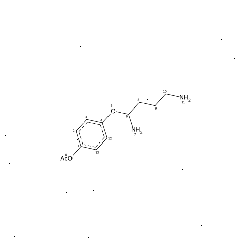 CC(=O)Oc1ccc(OC(N)CCCN)cc1